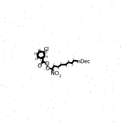 CCCCCCCCCCCCCCCCCC(OOC(=O)c1cccc(Cl)c1)[N+](=O)[O-]